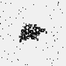 CC(c1nc2ccccc2c(=O)n1-c1ccc(F)cc1)N(C)C(=O)Nc1cc(C(F)(F)F)cc(C(F)(F)F)c1